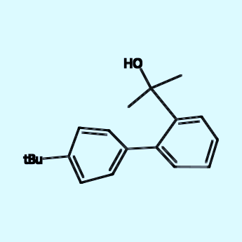 CC(C)(C)c1ccc(-c2ccccc2C(C)(C)O)cc1